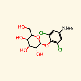 CNc1cc(Cl)c(O[C@@H]2O[C@H](CO)[C@H](O)[C@H](O)[C@H]2O)c(Cl)c1